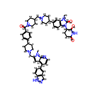 Cn1c(CN2CCC(c3ccc(C(=O)N4CCC(CN5CCC(c6ccc7c(c6)n(C)c(=O)n7C6CCC(=O)NC6=O)CC5)CC4)cc3)CC2)cc2c(-c3ccc4[nH]ncc4c3)ccnc21